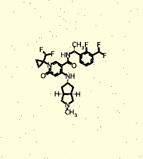 C[C@@H](NC(=O)c1cn(C2(C(F)F)CC2)c(=O)cc1N[C@H]1C[C@@H]2CN(C)C[C@@H]2C1)c1cccc(C(F)F)c1F